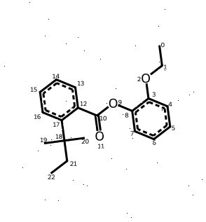 CCOc1ccccc1OC(=O)c1ccccc1C(C)(C)CC